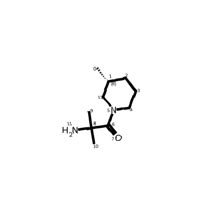 C[C@@H]1CCCN(C(=O)C(C)(C)N)C1